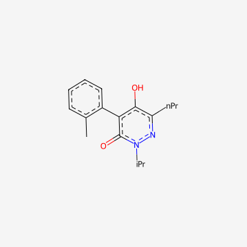 CCCc1nn(C(C)C)c(=O)c(-c2ccccc2C)c1O